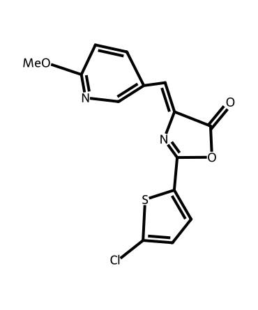 COc1ccc(/C=C2\N=C(c3ccc(Cl)s3)OC2=O)cn1